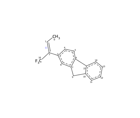 C/C=C(\c1ccc2c(c1)Cc1ccccc1-2)C(F)(F)F